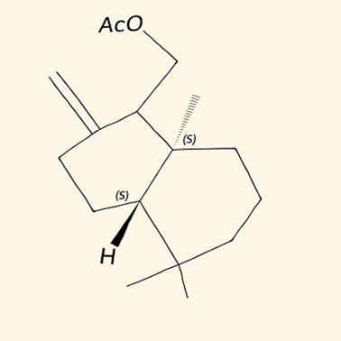 C=C1CC[C@H]2C(C)(C)CCC[C@]2(C)C1COC(C)=O